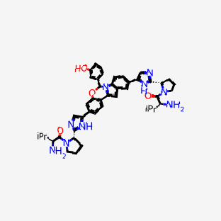 CC(C)[C@H](N)C(=O)N1CCC[C@H]1c1ncc(-c2ccc3c(c2)OC(c2cccc(O)c2)n2c-3cc3cc(-c4cnc([C@@H]5CCCN5C(=O)[C@@H](N)C(C)C)[nH]4)ccc32)[nH]1